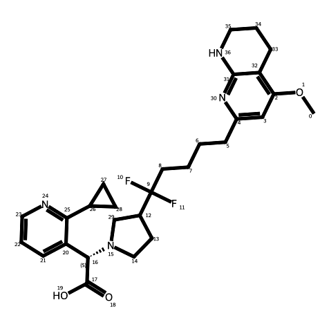 COc1cc(CCCCC(F)(F)C2CCN([C@H](C(=O)O)c3cccnc3C3CC3)C2)nc2c1CCCN2